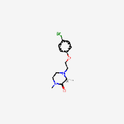 C[C@@H]1C(=O)N(C)CCN1CCOc1ccc(Br)cc1